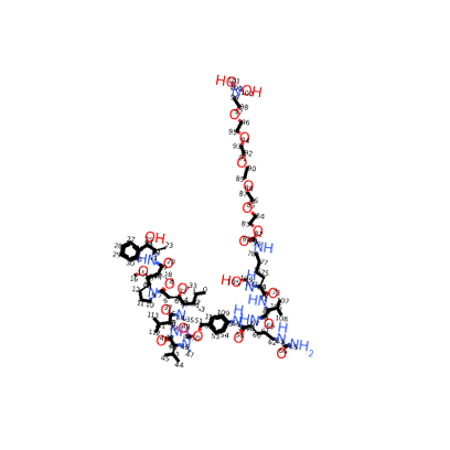 CC[C@H](C)[C@@H]([C@@H](CC(=O)N1CCC[C@H]1[C@H](OC)[C@@H](C)C(=O)N[C@H](C)[C@@H](O)c1ccccc1)OC)N(C)C(=O)[C@@H](NC(=O)[C@H](C(C)C)N(C)C(=O)OCc1ccc(NC(=O)[C@H](CCCNC(N)=O)NC(=O)[C@@H](NC(=O)[C@H](CCCCNC(=O)OCCOCCOCCOCCOCCOCCN(O)O)NCO)C(C)C)cc1)C(C)C